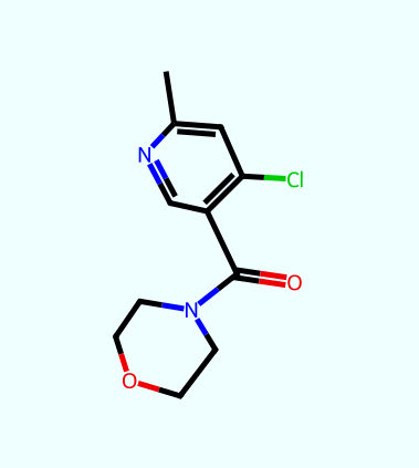 Cc1cc(Cl)c(C(=O)N2CCOCC2)cn1